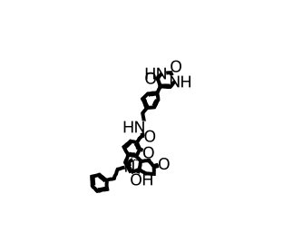 O=C(NCCc1ccc(-c2c[nH]c(=O)[nH]c2=O)cc1)c1ccc2c3c1OC1C(=O)CCC4(O)C(C2)N(CCc2ccccc2)CC[C@]314